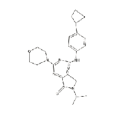 CC(C)N1Cc2c(Nc3ccc(C4CCC4)cc3)nc(N3CCOCC3)nc2C1=O